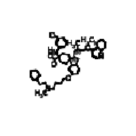 C[C@@H](COc1ccnc2c1[C@H](C)CCC2)C[C@H]1Cc2ccc(OCCCCN(C)CCc3ccccc3)cc2C12CCC(Nc1cccc(Cl)c1)(C(=O)O)CC2